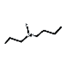 CCCC[SiH](F)CCC